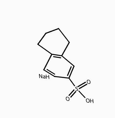 O=S(=O)(O)c1ccc2c(c1)CCCC2.[NaH]